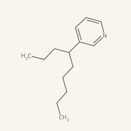 CCCCCC(CCC)c1cccnc1